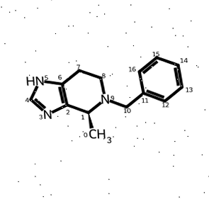 C[C@H]1c2nc[nH]c2CCN1Cc1ccccc1